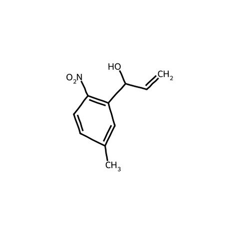 C=CC(O)c1cc(C)ccc1[N+](=O)[O-]